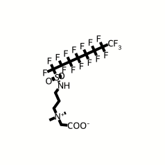 C[N+](C)(CCCNS(=O)(=O)C(F)(F)C(F)(F)C(F)(F)C(F)(F)C(F)(F)C(F)(F)C(F)(F)C(F)(F)F)CC(=O)[O-]